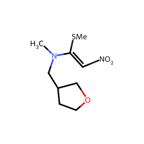 CSC(=C[N+](=O)[O-])N(C)CC1CCOC1